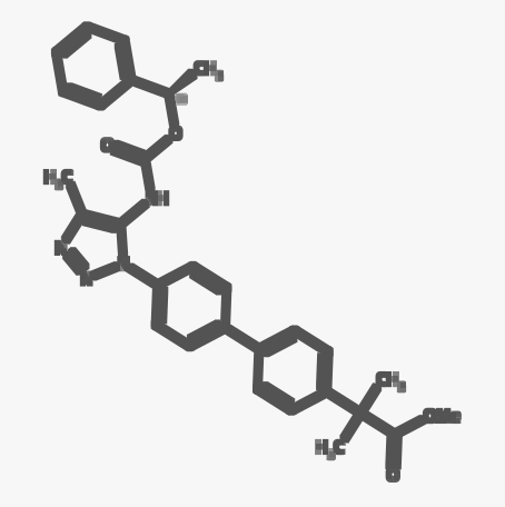 COC(=O)C(C)(C)c1ccc(-c2ccc(-n3nnc(C)c3NC(=O)O[C@H](C)c3ccccc3)cc2)cc1